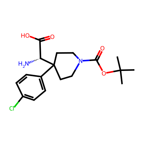 CC(C)(C)OC(=O)N1CCC(c2ccc(Cl)cc2)([C@H](N)C(=O)O)CC1